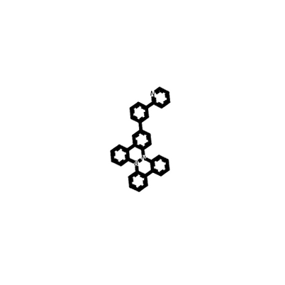 c1ccc(-c2cccc(-c3ccc4c(c3)-c3ccccc3B3c5ccccc5-c5ccccc5N34)c2)nc1